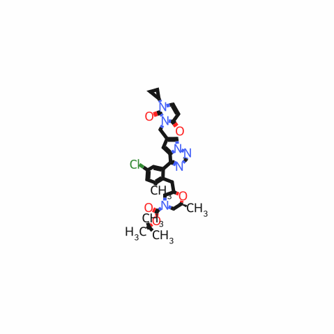 Cc1cc(Cl)cc(-c2ncnn3cc(Cn4c(=O)ccn(C5CC5)c4=O)cc23)c1CC1CN(C(=O)OC(C)(C)C)C[C@H](C)O1